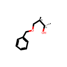 C[C@H](O)[C@H](C)COCc1ccccc1